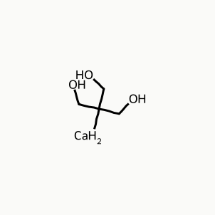 CC(CO)(CO)CO.[CaH2]